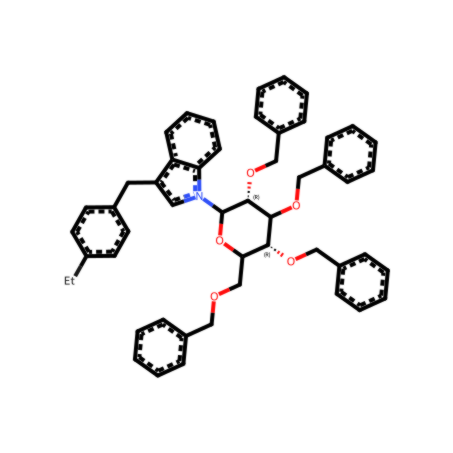 CCc1ccc(Cc2cn(C3OC(COCc4ccccc4)[C@@H](OCc4ccccc4)C(OCc4ccccc4)[C@H]3OCc3ccccc3)c3ccccc23)cc1